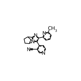 Cc1cccc(-c2nc3n(c2-c2ccncc2C#N)C2CCC3C2)n1